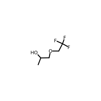 CC(O)COCC(F)(F)F